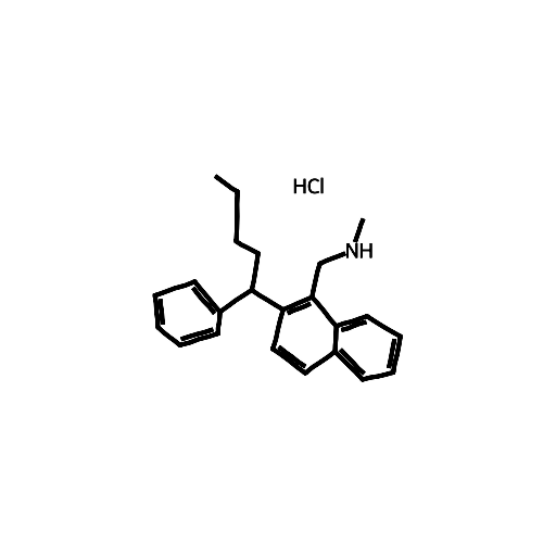 CCCCC(c1ccccc1)c1ccc2ccccc2c1CNC.Cl